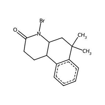 CC1(C)CC2C(CCC(=O)N2Br)c2ccccc21